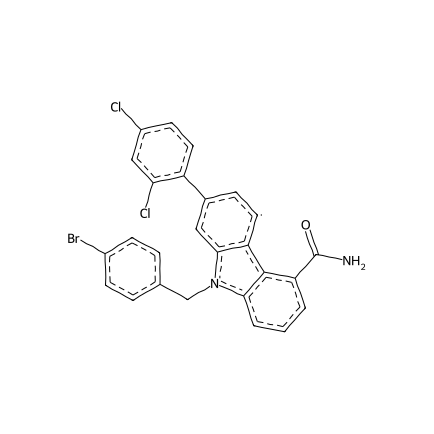 NC(=O)c1cccc2c1c1[c]cc(-c3ccc(Cl)cc3Cl)cc1n2Cc1ccc(Br)cc1